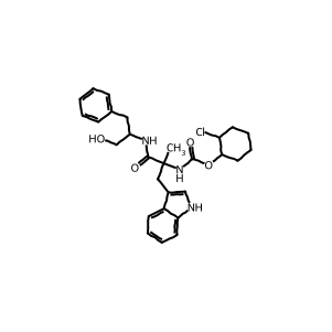 CC(Cc1c[nH]c2ccccc12)(NC(=O)OC1CCCCC1Cl)C(=O)NC(CO)Cc1ccccc1